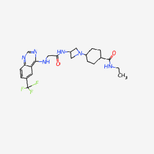 CCNC(=O)C1CCC(N2CC(NC(=O)CNc3ncnc4ccc(C(F)(F)F)cc34)C2)CC1